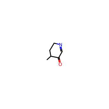 CC1CCN=CC1=O